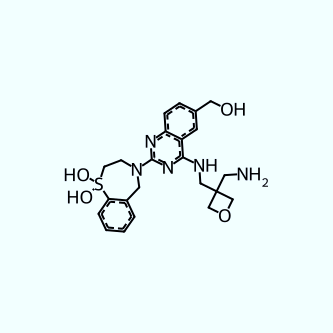 NCC1(CNc2nc(N3CCS(O)(O)c4ccccc4C3)nc3ccc(CO)cc23)COC1